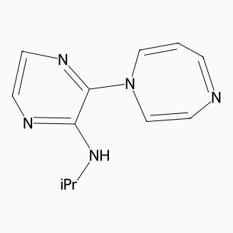 CC(C)Nc1nccnc1N1C=CC=NC=C1